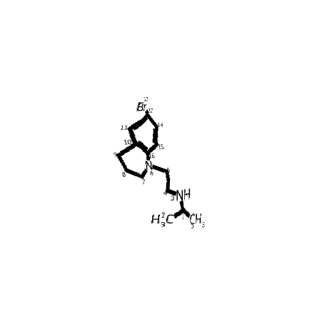 CC(C)NCCN1CCCc2cc(Br)ccc21